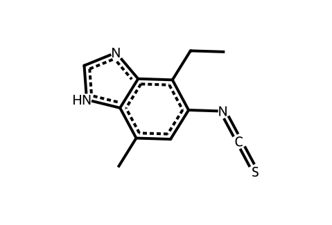 CCc1c(N=C=S)cc(C)c2[nH]cnc12